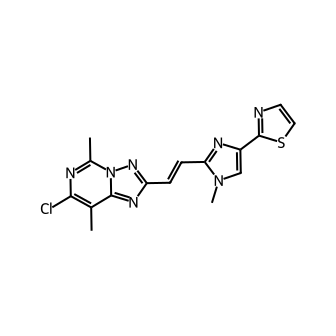 Cc1c(Cl)nc(C)n2nc(/C=C/c3nc(-c4nccs4)cn3C)nc12